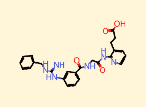 N=C(NCc1ccccc1)Nc1cccc(C(=O)NCC(=O)Nc2ncccc2CCC(=O)O)c1